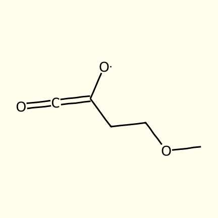 COCCC([O])=C=O